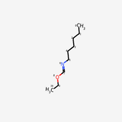 CCCCCCN=COCC